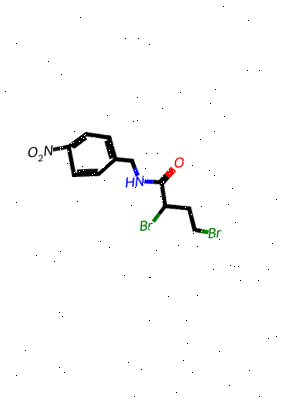 O=C(NCc1ccc([N+](=O)[O-])cc1)C(Br)CCBr